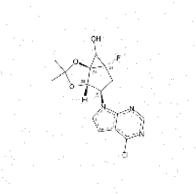 CC1(C)O[C@H]2[C@H](n3ccc4c(Cl)ncnc43)C[C@]3(F)C(O)[C@@]23O1